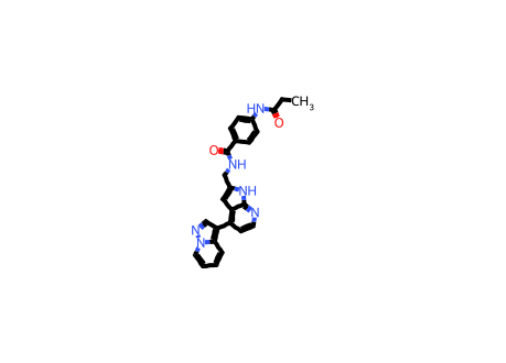 CCC(=O)Nc1ccc(C(=O)NCc2cc3c(-c4cnn5ccccc45)ccnc3[nH]2)cc1